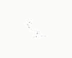 O=C(O[C@@H]1C2CC3C[C@H]1C[C@@](O)(C3)C2)N1CC[C@@H](Nc2ncccn2)C1